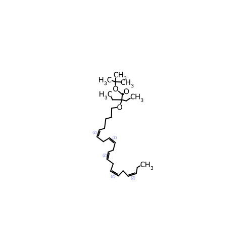 CC/C=C\C/C=C\C/C=C\C/C=C\C/C=C\CCCCOC(CC)(CC)C(=O)OC(C)(C)C